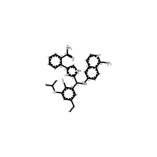 CCc1cc(OC(C)C)c(F)c(C(Nc2ccc3c(N)nccc3c2)c2nc(-c3ccccc3C(N)=O)c[nH]2)c1